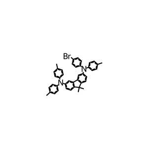 Cc1ccc(N(c2ccc(C)cc2)c2ccc3c(c2)-c2cc(N(c4ccc(C)cc4)c4ccc(Br)cc4)ccc2C3(C)C)cc1